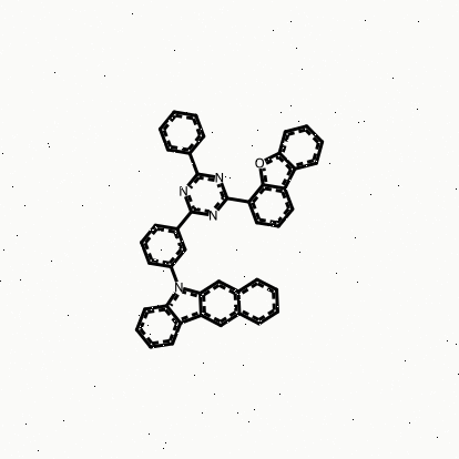 c1ccc(-c2nc(-c3cccc(-n4c5ccccc5c5cc6ccccc6cc54)c3)nc(-c3cccc4c3oc3ccccc34)n2)cc1